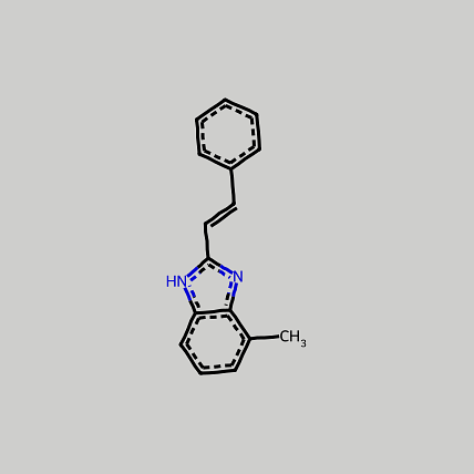 Cc1cccc2[nH]c(C=Cc3ccccc3)nc12